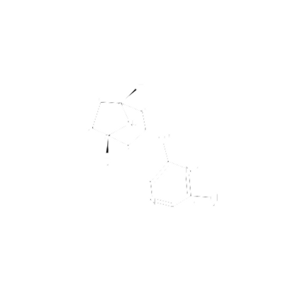 CN1[C@@H]2CC[C@H]1C[C@@H](Oc1cncc(Cl)n1)C2